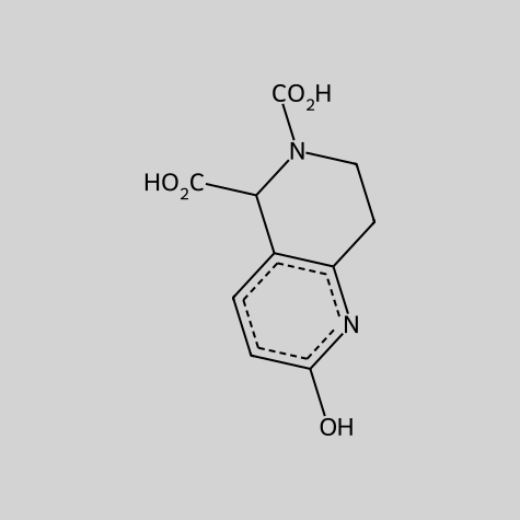 O=C(O)C1c2ccc(O)nc2CCN1C(=O)O